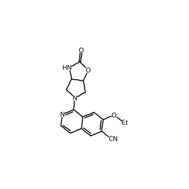 CCOc1cc2c(N3CC4NC(=O)OC4C3)nccc2cc1C#N